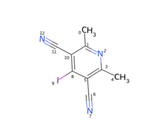 Cc1nc(C)c(C#N)c(I)c1C#N